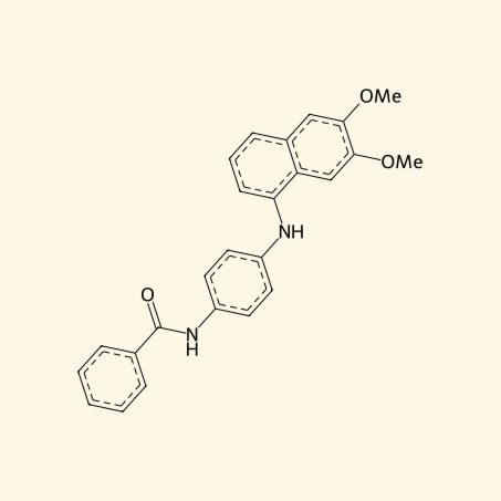 COc1cc2cccc(Nc3ccc(NC(=O)c4ccccc4)cc3)c2cc1OC